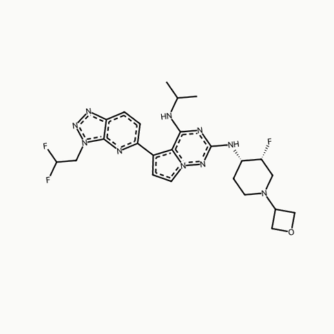 CC(C)Nc1nc(N[C@H]2CCN(C3COC3)C[C@H]2F)nn2ccc(-c3ccc4nnn(CC(F)F)c4n3)c12